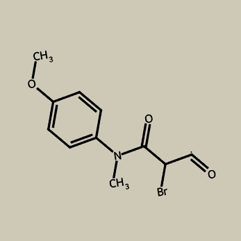 COc1ccc(N(C)C(=O)C(Br)[C]=O)cc1